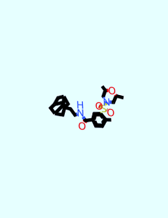 Cc1ccc(C(=O)NCCC23CC4CC(CC(C4)C2)C3)cc1S(=O)(=O)N1CC(C)OC(C)C1